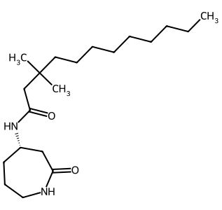 CCCCCCCCCC(C)(C)CC(=O)N[C@H]1CCCNC(=O)C1